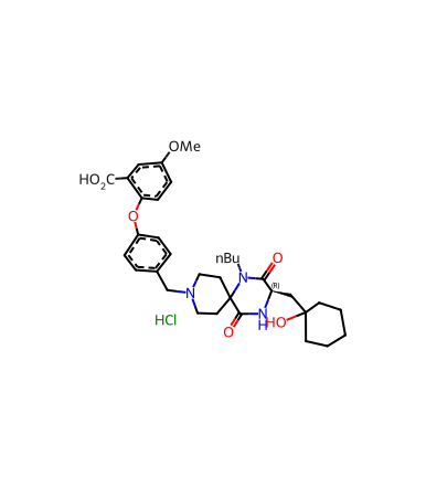 CCCCN1C(=O)[C@@H](CC2(O)CCCCC2)NC(=O)C12CCN(Cc1ccc(Oc3ccc(OC)cc3C(=O)O)cc1)CC2.Cl